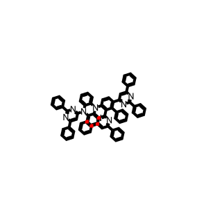 c1ccc(-c2cc(-c3ccc(N4c5ccccc5N(c5cc(-c6ccccc6)nc(-c6ccccc6)n5)c5ccccc54)c(-c4nc(-c5ccccc5)cc(-c5ccccc5)n4)c3-c3ccccc3)nc(-c3ccccc3)n2)cc1